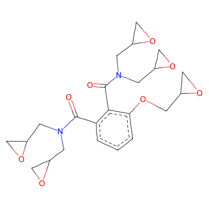 O=C(c1cccc(OCC2CO2)c1C(=O)N(CC1CO1)CC1CO1)N(CC1CO1)CC1CO1